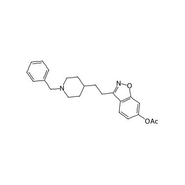 CC(=O)Oc1ccc2c(CCC3CCN(Cc4ccccc4)CC3)noc2c1